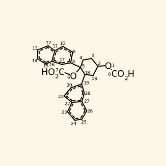 O=C(O)OC1CCC(OC(=O)O)(c2ccc3ccccc3c2)C(c2ccc3ccccc3c2)C1